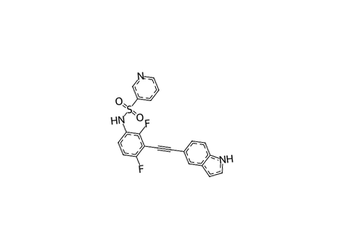 O=S(=O)(Nc1ccc(F)c(C#Cc2ccc3[nH]ccc3c2)c1F)c1cccnc1